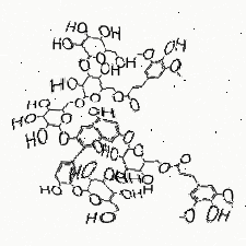 COc1cc(/C=C/C(=O)OCC2OC(Oc3cc(O)c4cc(OC5OC(COC6OC(COC(=O)/C=C/c7cc(OC)c(O)c(OC)c7)C(O)C(OC7OC(CO)C(O)C(O)C7O)C6O)C(O)C(O)C5O)c(-c5ccc(O)c(OC6OC(CO)C(O)C(O)C6O)c5)[o+]c4c3)C(O)C(O)C2O)cc(OC)c1O